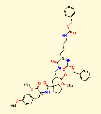 CC(C)(C)OC(=O)C(CNC(=O)[C@H](CCCCNC(=O)OCc1ccccc1)NC(=O)OCc1ccccc1)CC1(C(=O)N[C@@H](Cc2ccc(OC(C)(C)C)cc2)C(=O)OC(C)(C)C)CCCC1